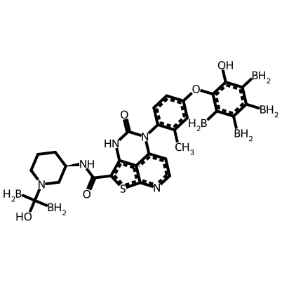 Bc1c(B)c(B)c(Oc2ccc(N3C(=O)Nc4c(C(=O)N[C@@H]5CCCN(C(B)(B)O)C5)sc5nccc3c45)c(C)c2)c(O)c1B